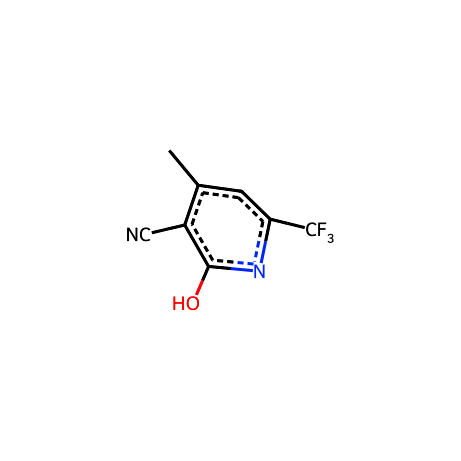 Cc1cc(C(F)(F)F)nc(O)c1C#N